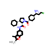 Cc1c(C(=O)O)oc2ccc(NC(=O)[C@@H]3[C@H](C4CCCCC4)CCN3C(=O)[C@H]3CC[C@H]([C@H](N)CCF)CC3)cc12